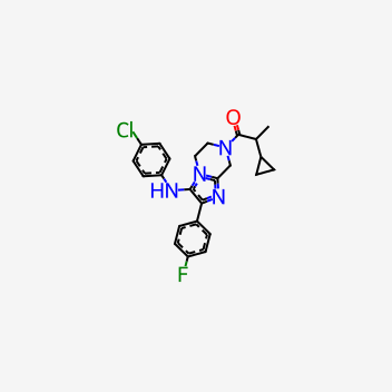 CC(C(=O)N1CCn2c(nc(-c3ccc(F)cc3)c2Nc2ccc(Cl)cc2)C1)C1CC1